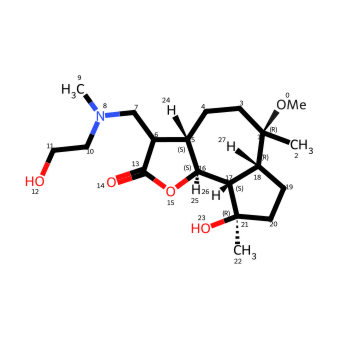 CO[C@]1(C)CC[C@H]2C(CN(C)CCO)C(=O)O[C@@H]2[C@@H]2[C@H]1CC[C@@]2(C)O